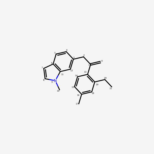 C=C(Cc1ccc2ccn(C)c2c1)c1ccc(C)cc1CC